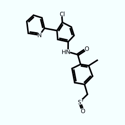 Cc1cc(C[S+]=O)ccc1C(=O)Nc1ccc(Cl)c(-c2ccccn2)c1